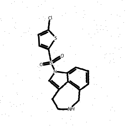 O=S(=O)(c1ccc(Cl)s1)n1cc2c3c(cccc31)CNCC2